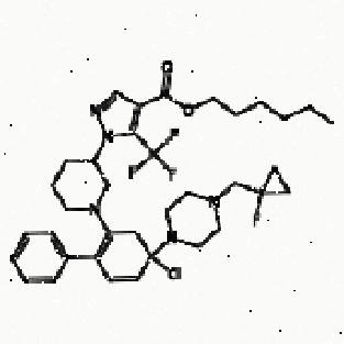 CCCCCCOC(=O)c1cnn(C2CCCN(C3=C(c4ccccc4)C=CC(Cl)(N4CCN(CC5(F)CC5)CC4)C3)C2)c1C(F)(F)F